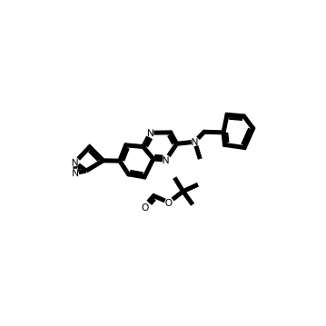 CC(C)(C)OC=O.CN(Cc1ccccc1)c1cnc2cc(-c3cn4nc3-4)ccc2n1